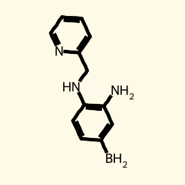 Bc1ccc(NCc2ccccn2)c(N)c1